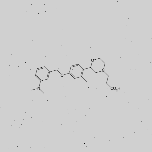 Cc1cc(OCc2cccc(N(C)C)c2)ccc1C1CN(CCC(=O)O)CCO1